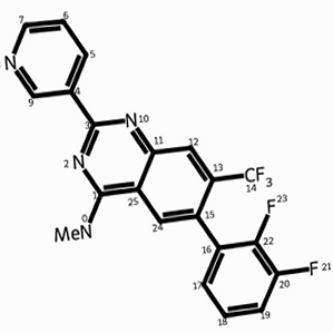 CNc1nc(-c2cccnc2)nc2cc(C(F)(F)F)c(-c3cccc(F)c3F)cc12